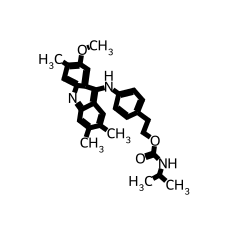 COc1cc2c(Nc3ccc(CCOC(=O)NC(C)C)cc3)c3cc(C)c(C)cc3nc2cc1C